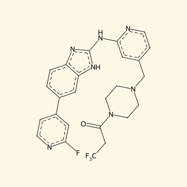 O=C(CC(F)(F)F)N1CCN(Cc2ccnc(Nc3nc4ccc(-c5ccnc(F)c5)cc4[nH]3)c2)CC1